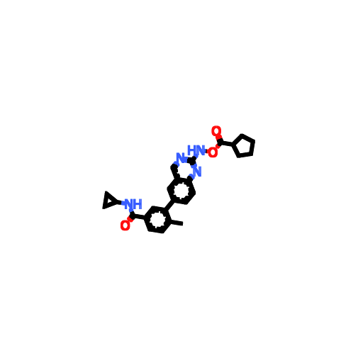 Cc1ccc(C(=O)NC2CC2)cc1-c1ccc2nc(NOC(=O)C3CCCC3)ncc2c1